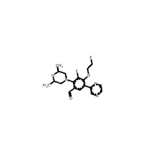 CC1CN(c2c(C=O)cc(-c3cnccn3)c(OCCF)c2F)CC(C)O1